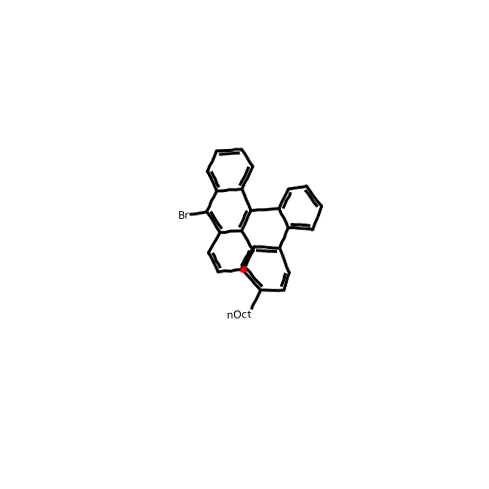 CCCCCCCCc1ccc(-c2ccccc2-c2c3ccccc3c(Br)c3ccccc23)cc1